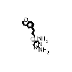 Nc1ncc(OCCCc2ccc3c(c2)CCO3)c(N)n1